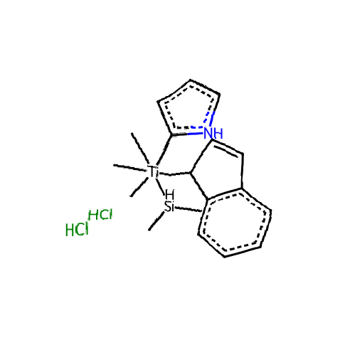 C[SiH](C)[Ti]([CH3])([CH3])([CH3])([c]1ccc[nH]1)[CH]1C=Cc2ccccc21.Cl.Cl